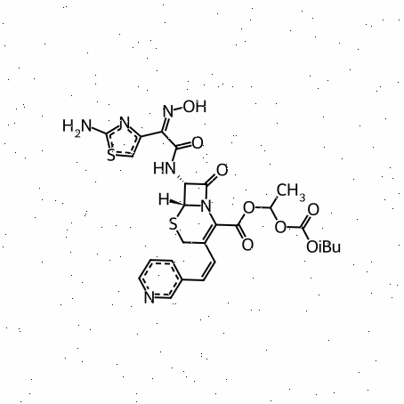 CC(C)COC(=O)OC(C)OC(=O)C1=C(/C=C\c2cccnc2)CS[C@@H]2[C@H](NC(=O)/C(=N\O)c3csc(N)n3)C(=O)N12